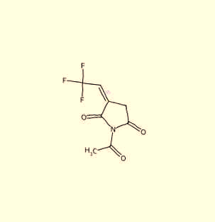 CC(=O)N1C(=O)C/C(=C/C(F)(F)F)C1=O